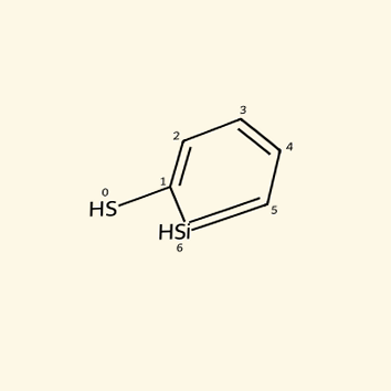 Sc1cccc[siH]1